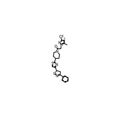 Cc1cc(C(F)(F)F)nn1CC(=O)N1CCC(c2nc(C3CC(c4ccccc4)=NO3)cs2)CC1